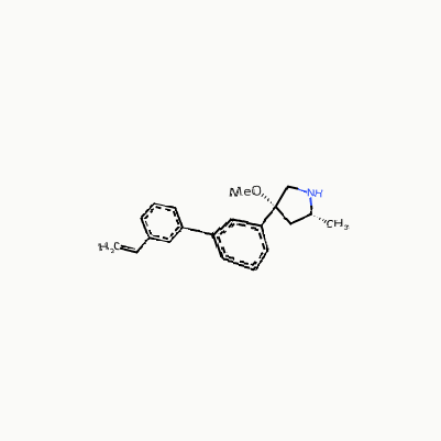 C=Cc1cccc(-c2cccc([C@@]3(OC)CN[C@H](C)C3)c2)c1